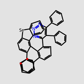 c1ccc(-c2cccc(-c3nnnc(-c4ccccc4)c3-c3ccccc3)c2-c2c(-c3ccccc3)ccc3[se]c4ccccc4c23)cc1